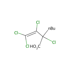 CCCCC(Cl)(C(=O)O)C(Cl)=C(Cl)Cl